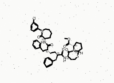 COC(=O)[C@@H]1CCC[C@@H]2SCC[C@H](NC(=O)[C@H](CC[C@H](Cc3ccccc3)C(=O)N[C@H]3CCCCN(c4cccc(Cl)c4)C3=O)Cc3ccccc3)C(=O)N21